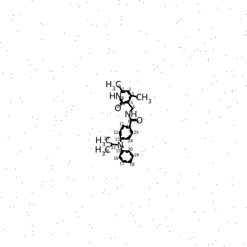 Cc1cc(C)c(CNC(=O)c2ccc(N(c3ccccc3)C(C)C)cc2)c(=O)[nH]1